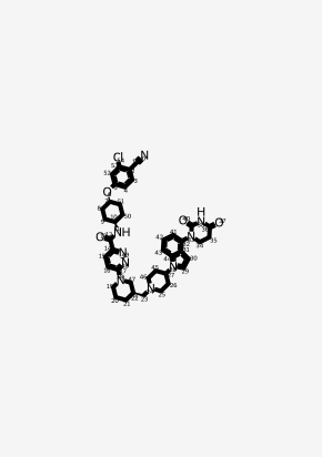 N#Cc1ccc(O[C@H]2CC[C@H](NC(=O)c3ccc(N4CCC[C@H](CN5CCC(n6ccc7c(N8CCC(=O)NC8=O)cccc76)CC5)C4)nn3)CC2)cc1Cl